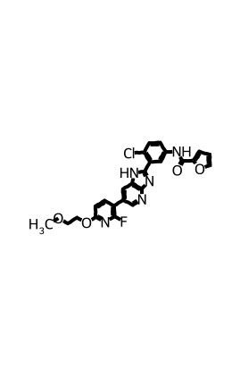 COCCOc1ccc(-c2cnc3nc(-c4cc(NC(=O)c5ccco5)ccc4Cl)[nH]c3c2)c(F)n1